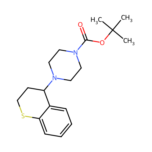 CC(C)(C)OC(=O)N1CCN(C2CCSc3ccccc32)CC1